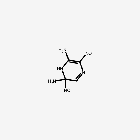 NC1=C(N=O)N=CC(N)(N=O)N1